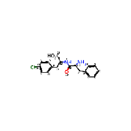 N[C@@H](Cc1ccccc1)C(=O)N[C@@H](Cc1ccc(Cl)cc1)C(=O)O